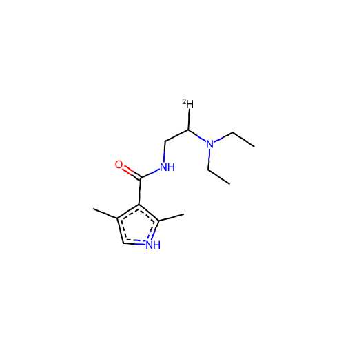 [2H]C(CNC(=O)c1c(C)c[nH]c1C)N(CC)CC